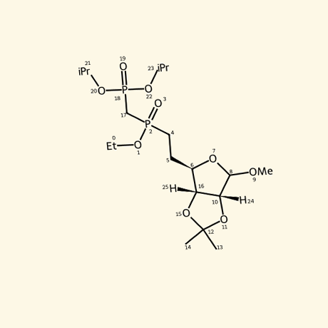 CCOP(=O)(CC[C@H]1OC(OC)[C@@H]2OC(C)(C)O[C@H]12)CP(=O)(OC(C)C)OC(C)C